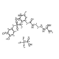 Cc1cc(CC(=O)NCCONC(=N)N)c(N(C)S(=O)(=O)Cc2ccc(Cl)c(Cl)c2)c(=O)[nH]1.O=C(O)C(F)(F)F